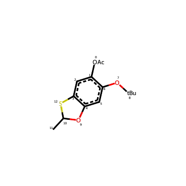 CC(=O)Oc1cc2c(cc1OC(C)(C)C)OC(C)S2